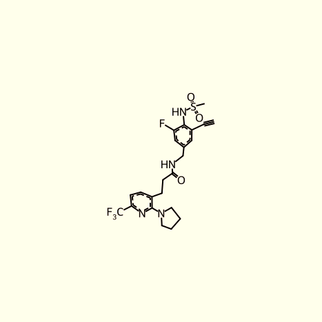 C#Cc1cc(CNC(=O)CCc2ccc(C(F)(F)F)nc2N2CCCC2)cc(F)c1NS(C)(=O)=O